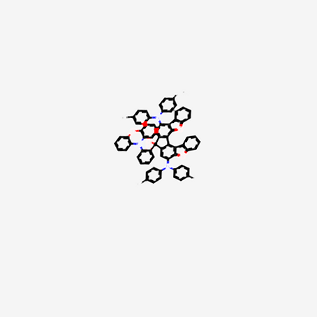 CC(C)(C)c1ccc(N(c2ccc(C(C)(C)C)cc2)c2cc3c(c4c2oc2ccccc24)-c2c(cc(N(c4ccc(C(C)(C)C)cc4)c4ccc(C(C)(C)C)cc4)c4c2oc2ccccc24)C3(O)c2ccccc2N2c3ccccc3Oc3ccccc32)cc1